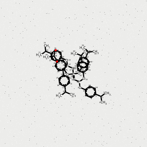 CC(C)c1ccc(OP(N=P(NP(Oc2ccc(C(C)C)cc2)Oc2ccc(C(C)C)cc2)(Oc2ccc(C(C)C)cc2)Oc2ccc(C(C)C)cc2)Oc2ccc(C(C)C)cc2)cc1